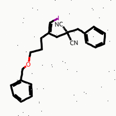 N#CC(C#N)(C/C(=C\I)CCCOCc1ccccc1)Cc1ccccc1